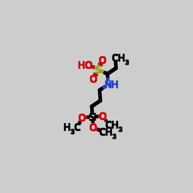 CCC(NCCC[Si](OC)(OC)OC)S(=O)(=O)O